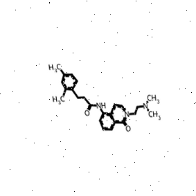 Cc1ccc(CCC(=O)Nc2cccc3c(=O)n(CCN(C)C)ccc23)c(C)c1